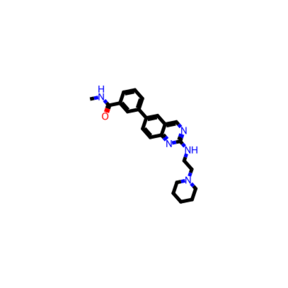 CNC(=O)c1cccc(-c2ccc3nc(NCCN4CCCCC4)ncc3c2)c1